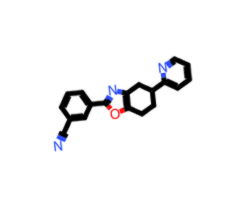 N#Cc1cccc(-c2nc3c(o2)CCC(c2ccccn2)C3)c1